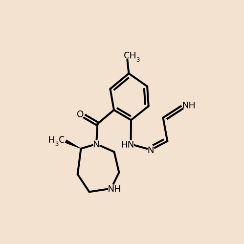 Cc1ccc(N/N=C\C=N)c(C(=O)N2CCNCC[C@H]2C)c1